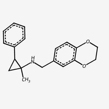 CC1(NCc2ccc3c(c2)OCCO3)CC1c1ccccc1